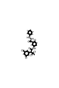 CC(Cl)(Cl)C(C(=O)Nc1ccc(Cl)c(C(=O)NNc2ccccc2)c1)c1cc(Cl)cc(Cl)c1